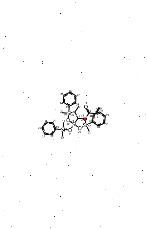 C=CC(=O)OC(CC)[Si](O[Si](C)(C)c1ccccc1)(O[Si](C)(C)c1ccccc1)O[Si](C)(C)c1ccccc1